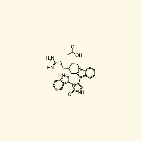 CC(=O)O.N=C(N)SCC1CCn2c(c(-c3c[nH]c(=O)n3-c3c[nH]c4ccccc34)c3ccccc32)C1